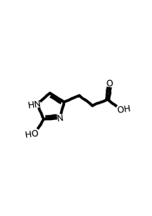 O=C(O)CCc1c[nH]c(O)n1